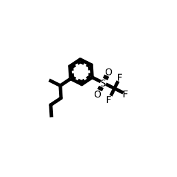 CCCC(C)c1cccc(S(=O)(=O)C(F)(F)F)c1